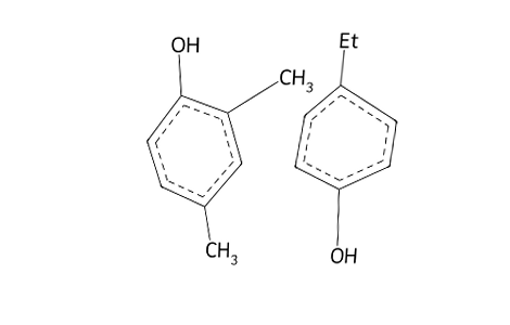 CCc1ccc(O)cc1.Cc1ccc(O)c(C)c1